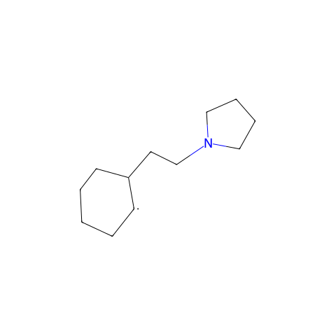 [CH]1CCCCC1CCN1CCCC1